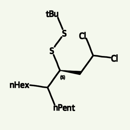 CCCCCCC(CCCCC)[C@H](CC(Cl)Cl)SSC(C)(C)C